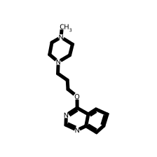 CN1CCN(CCCOc2ncnc3ccccc23)CC1